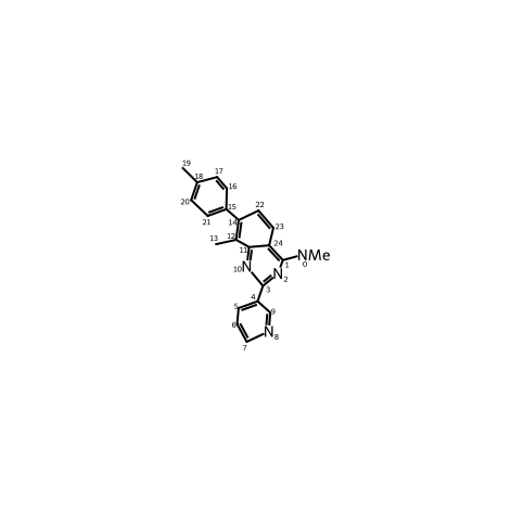 CNc1nc(-c2cccnc2)nc2c(C)c(-c3ccc(C)cc3)ccc12